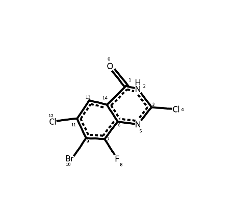 O=c1[nH]c(Cl)nc2c(F)c(Br)c(Cl)cc12